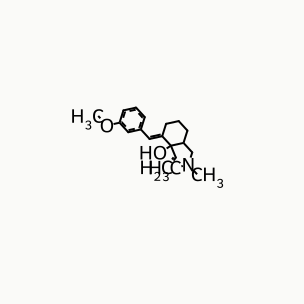 C=CC1(O)C(=Cc2cccc(OC)c2)CCCC1CN(C)C